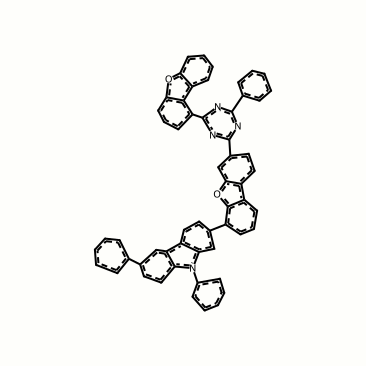 c1ccc(-c2ccc3c(c2)c2ccc(-c4cccc5c4oc4cc(-c6nc(-c7ccccc7)nc(-c7cccc8oc9ccccc9c78)n6)ccc45)cc2n3-c2ccccc2)cc1